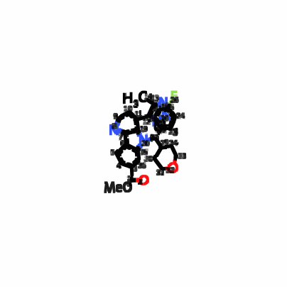 COC(=O)c1ccc2c3nccc(-c4c(C)nnn4C)c3n([C@H](c3ccc(F)cc3)C3CCOCC3)c2c1